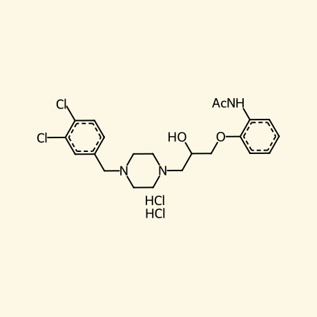 CC(=O)Nc1ccccc1OCC(O)CN1CCN(Cc2ccc(Cl)c(Cl)c2)CC1.Cl.Cl